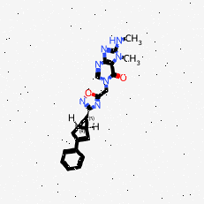 CNc1nc2ncn(Cc3nc([C@@H]4[C@H]5C=C(c6ccccc6)C[C@H]54)no3)c(=O)c2n1C